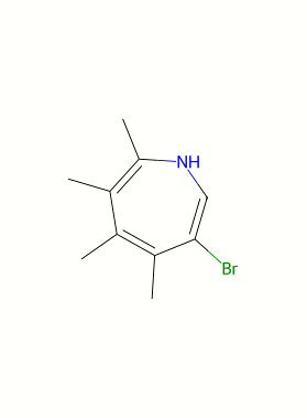 CC1=C(C)C(C)=C(C)C(Br)=CN1